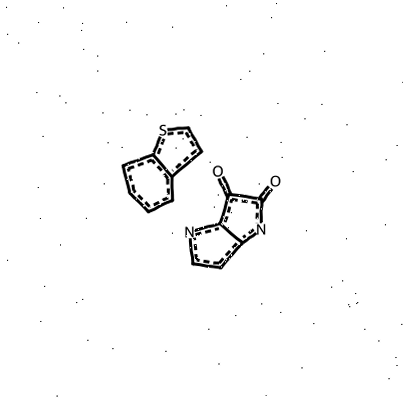 O=c1nc2ccnc-2c1=O.c1ccc2sccc2c1